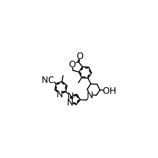 Cc1cc(-n2cc(CN3CC(O)CC(c4ccc5c(c4C)COC5=O)C3)cn2)ncc1C#N